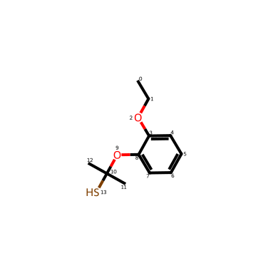 CCOc1ccccc1OC(C)(C)S